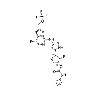 O=C(NC12CC(C1)C2)O[C@@H]1CO[C@H](c2cc(Nc3ncc(F)c4nc(COC(F)(F)F)cn34)n[nH]2)[C@@H]1F